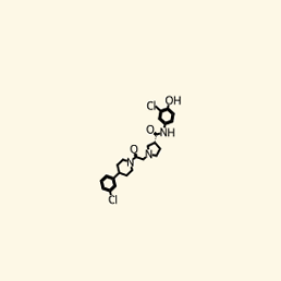 O=C(Nc1ccc(O)c(Cl)c1)[C@@H]1CCN(CC(=O)N2CCC(c3cccc(Cl)c3)CC2)C1